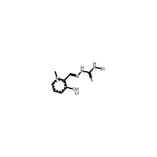 CCNC(=S)NN=Cc1c(O)ccc[n+]1C.[Cl-]